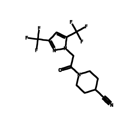 N#CC1CCN(C(=O)Cn2nc(C(F)(F)F)cc2C(F)(F)F)CC1